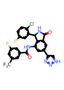 O=C(Nc1cc(-c2c[nH]nn2)cc2c1C(c1cc(F)ccc1Cl)NC2=O)c1cc(F)cc(C(F)(F)F)c1